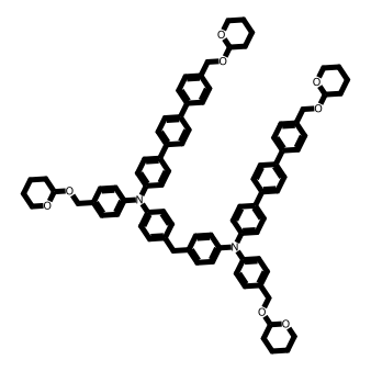 c1cc(-c2ccc(-c3ccc(N(c4ccc(COC5CCCCO5)cc4)c4ccc(Cc5ccc(N(c6ccc(COC7CCCCO7)cc6)c6ccc(-c7ccc(-c8ccc(COC9CCCCO9)cc8)cc7)cc6)cc5)cc4)cc3)cc2)ccc1COC1CCCCO1